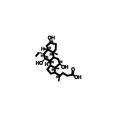 CC[C@H]1[C@@H](O)[C@H]2C3CCC([C@H](C)CCC(=O)O)[C@@]3(C)[C@@H](O)CC2[C@@]2(C)CC[C@@H](O)C[C@@H]12